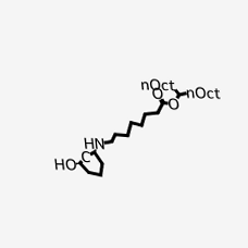 CCCCCCCCC(CCCCCCCC)OC(=O)CCCCCCCN[C@@H]1CCC[C@H](O)C1